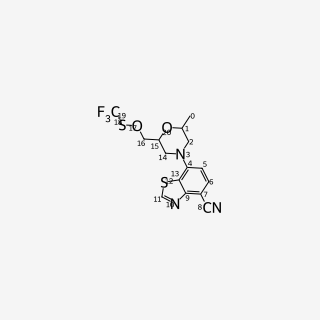 CC1CN(c2ccc(C#N)c3ncsc23)CC(COSC(F)(F)F)O1